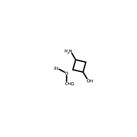 CCOC=O.NC1CC(O)C1